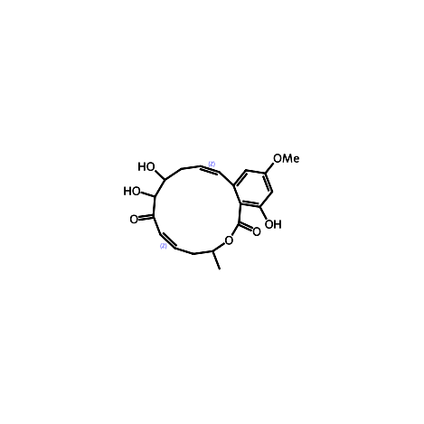 COc1cc(O)c2c(c1)/C=C\CC(O)C(O)C(=O)/C=C\CC(C)OC2=O